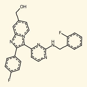 OCc1ccn2c(-c3ccnc(NCc4ccccc4F)n3)c(-c3ccc(F)cc3)nc2c1